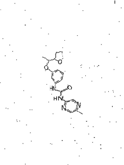 Cc1cnc(NC(=O)Nc2cccc(OC(C)C3CCCO3)c2)cn1